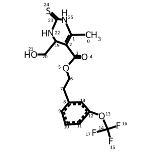 CC1=C(C(=O)OCCc2cccc(OC(F)(F)F)c2)C(CO)NC(=S)N1